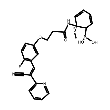 CC[C@]1(NC(=O)CCOc2ccc(F)c(C=C(C#N)c3ccccn3)c2)C=CC=CC1B(O)O